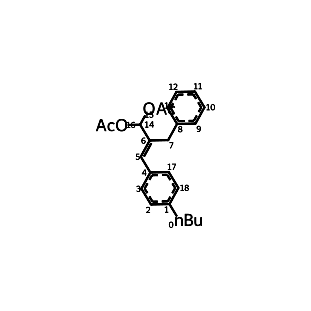 CCCCc1ccc(/C=C(\Cc2ccccc2)C(OC(C)=O)OC(C)=O)cc1